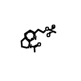 CC(=O)N1CCCc2ccc(CCOS(C)(=O)=O)nc21